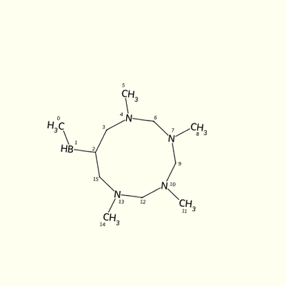 CBC1CN(C)CN(C)CN(C)CN(C)C1